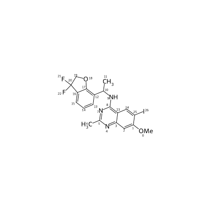 COc1cc2nc(C)nc(NC(C)c3cccc4c3OCC4(F)F)c2cc1I